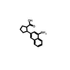 Nc1cc(C2CCCC2C(=O)O)cc2ccccc12